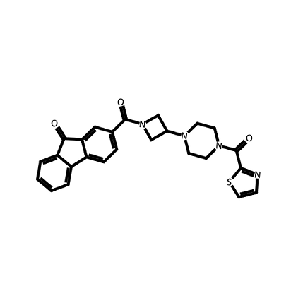 O=C1c2ccccc2-c2ccc(C(=O)N3CC(N4CCN(C(=O)c5nccs5)CC4)C3)cc21